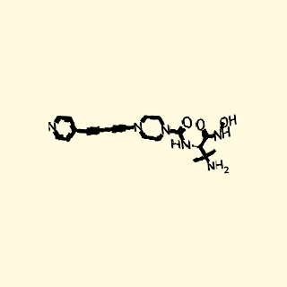 CC(C)(N)[C@H](NC(=O)N1CCN(C#CC#Cc2ccncc2)CC1)C(=O)NO